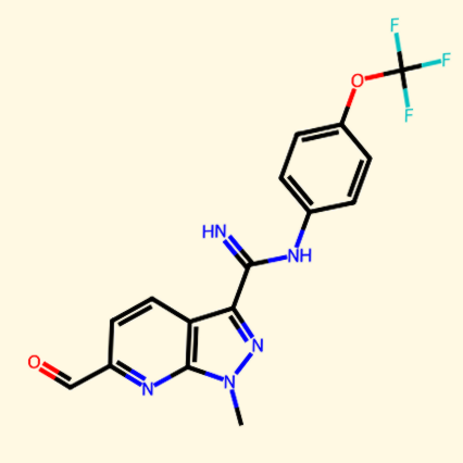 Cn1nc(C(=N)Nc2ccc(OC(F)(F)F)cc2)c2ccc(C=O)nc21